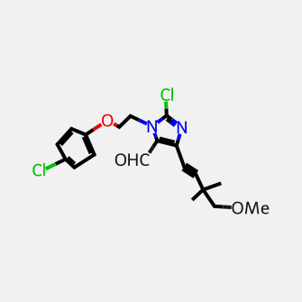 COCC(C)(C)C#Cc1nc(Cl)n(CCOc2ccc(Cl)cc2)c1C=O